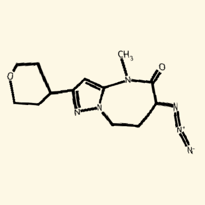 CN1C(=O)C(N=[N+]=[N-])CCn2nc(C3CCOCC3)cc21